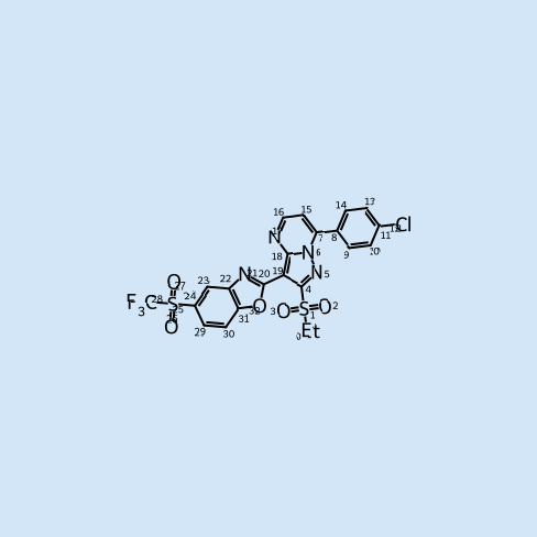 CCS(=O)(=O)c1nn2c(-c3ccc(Cl)cc3)ccnc2c1-c1nc2cc(S(=O)(=O)C(F)(F)F)ccc2o1